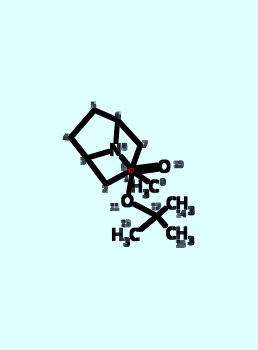 CC1CC2CCC(C1)N2C(=O)OC(C)(C)C